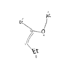 CCC=C(CC)OC(C)=O